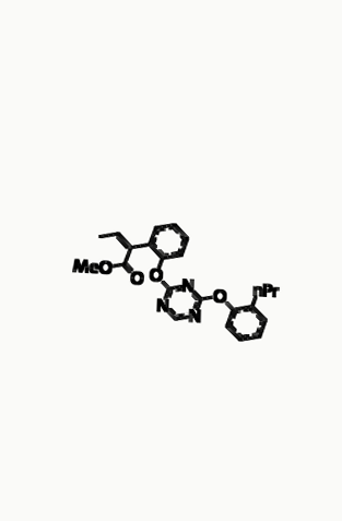 CC=C(C(=O)OC)c1ccccc1Oc1ncnc(Oc2ccccc2CCC)n1